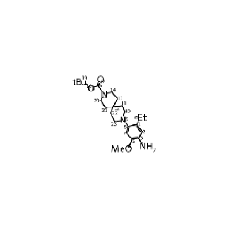 CCc1cc(N)c(OC)cc1N1CCC2(CCN(C(=O)OC(C)(C)C)CC2)CC1